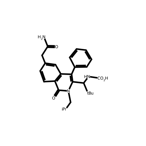 CC(C)Cn1c(C(NC(=O)O)C(C)(C)C)c(-c2ccccc2)c2cc(CC(N)=O)ccc2c1=O